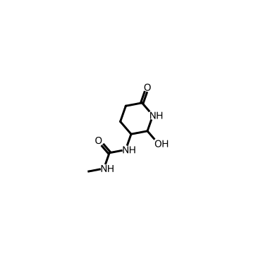 CNC(=O)NC1CCC(=O)NC1O